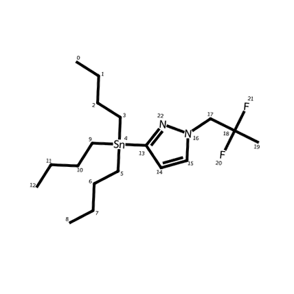 CCC[CH2][Sn]([CH2]CCC)([CH2]CCC)[c]1ccn(CC(C)(F)F)n1